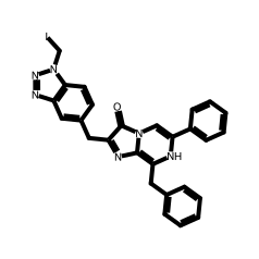 O=c1c(Cc2ccc3c(c2)nnn3CI)nc2c(Cc3ccccc3)[nH]c(-c3ccccc3)cn1-2